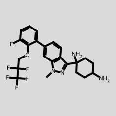 Cn1nc(C2(N)CCC(N)CC2)c2ccc(-c3cccc(F)c3OCC(F)(F)C(F)(F)F)cc21